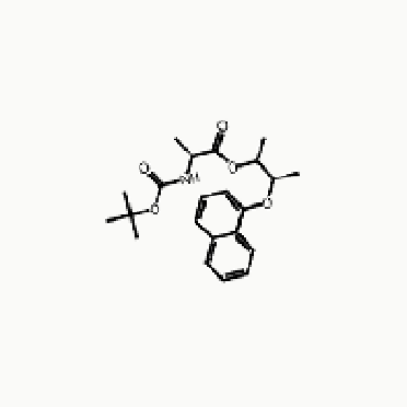 C[C@H](NC(=O)OC(C)(C)C)C(=O)O[C@@H](C)[C@@H](C)Oc1cccc2ccccc12